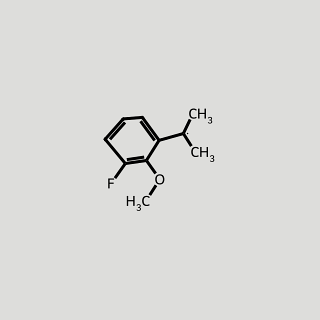 COc1c(F)cccc1[C](C)C